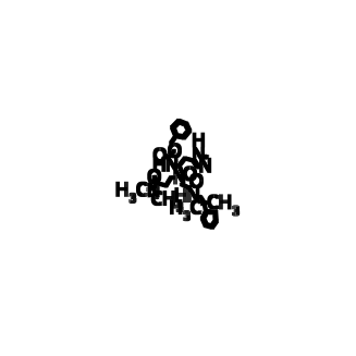 CN(C)C(=O)CCN(CC(=O)NCC(C)(C)c1ccccc1)C(=O)C(Cc1cnc[nH]1)NC(=O)OCc1ccccc1